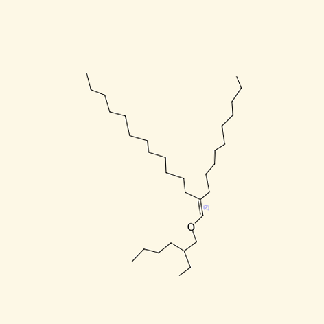 CCCCCCCCCCCC/C(=C\OCC(CC)CCCC)CCCCCCCCCC